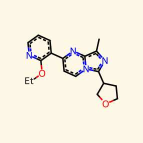 CCOc1ncccc1-c1ccn2c(C3CCOC3)nc(C)c2n1